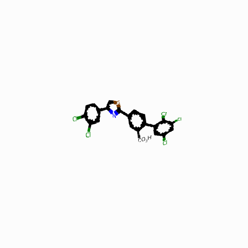 O=C(O)c1cc(-c2nc(-c3ccc(Cl)c(Cl)c3)cs2)ccc1-c1cc(Cl)cc(Cl)c1Cl